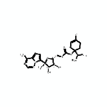 CC1=CCC(OC(=O)OC[C@H]2O[C@@](C)(c3ccc4c(N)ncnn34)[C@H](O)[C@@H]2O)(C(C)C)CC1